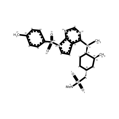 CNS(=O)(=O)C[C@@H]1CC[C@@H](N(C)c2ncnc3c2ccn3S(=O)(=O)c2ccc(C)cc2)[C@@H](C)C1